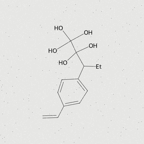 C=Cc1ccc(C(CC)C(O)(O)C(O)(O)O)cc1